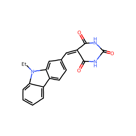 CCn1c2ccccc2c2ccc(C=C3C(=O)NC(=O)NC3=O)cc21